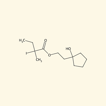 CCC(C)(I)C(=O)OCCC1(O)CCCC1